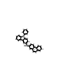 c1ccc(-n2c3ccccc3c3cc(Nc4ccc5c(ccc6ccccc65)c4)ccc32)cc1